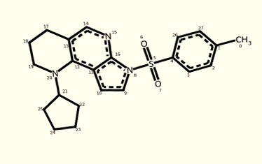 Cc1ccc(S(=O)(=O)n2ccc3c4c(cnc32)CCCN4C2CCCC2)cc1